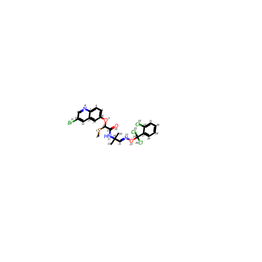 CSC(Oc1ccc2ncc(Br)cc2c1)C(=O)NC(C)(C)C=NOC(Cl)(Cl)c1ccccc1Cl